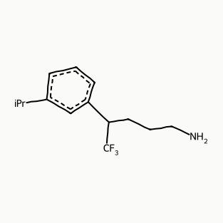 CC(C)c1cccc(C(CCCN)C(F)(F)F)c1